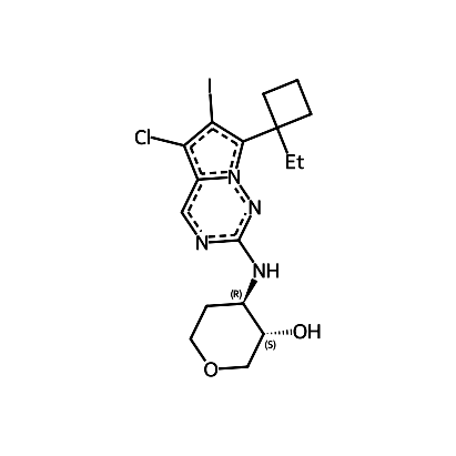 CCC1(c2c(I)c(Cl)c3cnc(N[C@@H]4CCOC[C@H]4O)nn23)CCC1